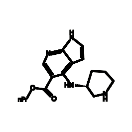 CCCOC(=O)c1cnc2[nH]ccc2c1N[C@@H]1CCCNC1